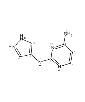 Nc1ccnc(Nc2cn[nH]c2)n1